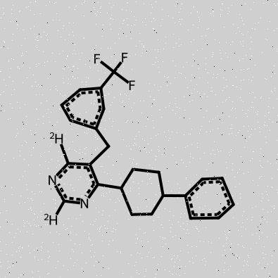 [2H]c1nc([2H])c(Cc2cccc(C(F)(F)F)c2)c(C2CCC(c3ccccc3)CC2)n1